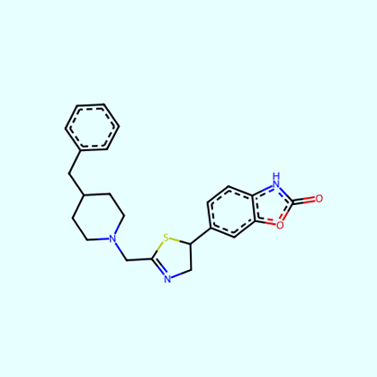 O=c1[nH]c2ccc(C3CN=C(CN4CCC(Cc5ccccc5)CC4)S3)cc2o1